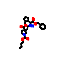 CCCCOC(=O)N1CCC(CCN[C@H](C(=O)OCc2ccccc2)C2CCCC2)(C(=O)OC)C1